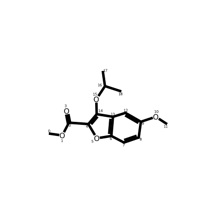 COC(=O)c1oc2ccc(OC)cc2c1OC(C)C